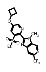 CCS(=O)(=O)c1cc(OC2CCC2)cnc1-c1nc2cc(C(F)(F)F)ncc2n1C